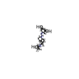 C=C1/C(=C\C=C2/CCCC3(C)C2CCC3[C@H](C)/C=C/[C@@](C)(O)C(C)C)C[C@@H](O)C[C@@H]1O